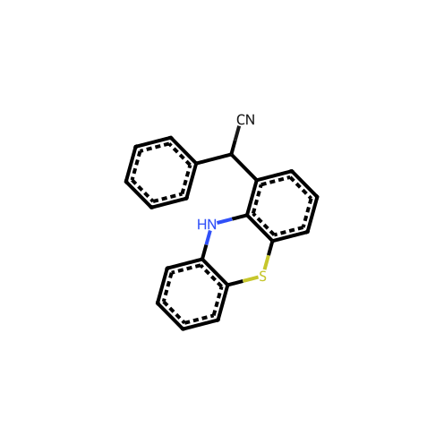 N#CC(c1ccccc1)c1cccc2c1Nc1ccccc1S2